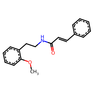 COc1ccccc1CCNC(=O)/C=C/c1ccccc1